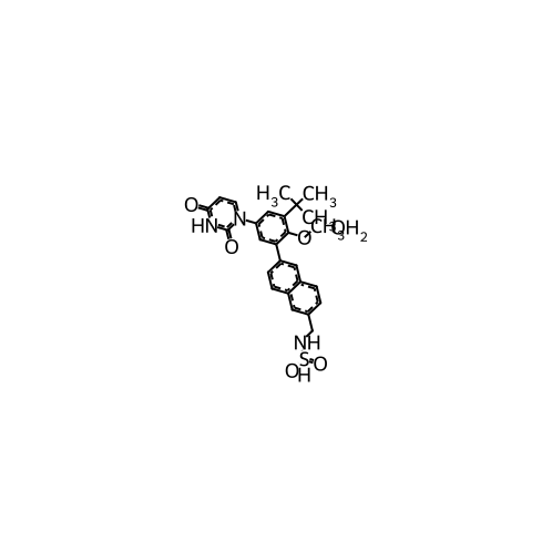 COc1c(-c2ccc3cc(CN[SH](=O)=O)ccc3c2)cc(-n2ccc(=O)[nH]c2=O)cc1C(C)(C)C.O